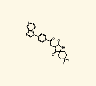 O=C(CN1C(=O)NC2(CCC(F)(F)CC2)C1=O)c1ccc(-c2cnc3cnccn23)cc1